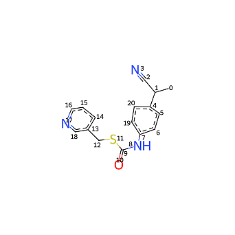 CC(C#N)c1ccc(NC(=O)SCc2cccnc2)cc1